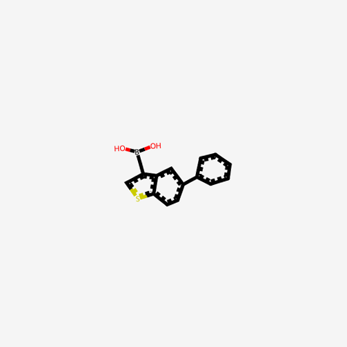 OB(O)c1csc2ccc(-c3ccccc3)cc12